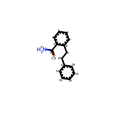 NC(=S)c1ccccc1CCc1ccccc1